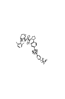 Cc1cccc(C)c1N1CCCS/C1=N\C(=O)NC1CCCC1c1ccc(-c2ncn(-c3ccc(OC(F)(F)F)cc3)n2)cc1